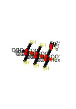 CCCCCCC(CCCCCCS)(C(=O)[O-])C(CS)(C(CCCC(=O)[O-])C(=O)[O-])C(CCCCCC)(CCCCCCS)C(=O)[O-].CCCCCCC(CCCCCCS)(C(=O)[O-])C(CS)(C(CCCC(=O)[O-])C(=O)[O-])C(CCCCCC)(CCCCCCS)C(=O)[O-].CCCCCCC(CCCCCCS)(C(=O)[O-])C(CS)(C(CCCC(=O)[O-])C(=O)[O-])C(CCCCCC)(CCCCCCS)C(=O)[O-].[CH3][Sn+3].[CH3][Sn+3]